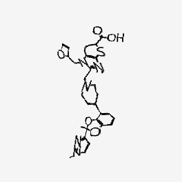 Cn1ccc(C2(C)Oc3cccc(C4CCN(Cc5nc6c(n5CC5CCO5)CC(C(=O)O)S6)CC4)c3O2)n1